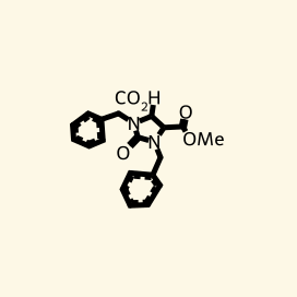 COC(=O)C1C(C(=O)O)N(Cc2ccccc2)C(=O)N1Cc1ccccc1